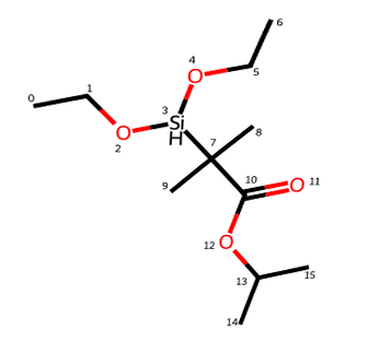 CCO[SiH](OCC)C(C)(C)C(=O)OC(C)C